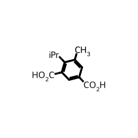 Cc1cc(C(=O)O)cc(C(=O)O)c1C(C)C